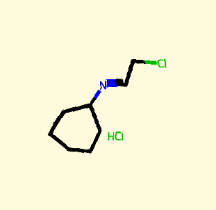 Cl.ClCC=NC1CCCCC1